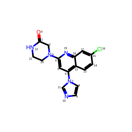 O=C1CN(c2cc(-n3ccnc3)c3ccc(Cl)cc3n2)CCN1